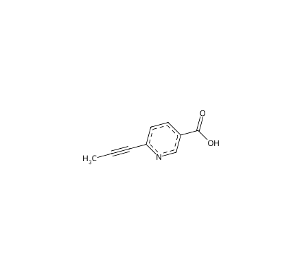 CC#Cc1ccc(C(=O)O)cn1